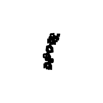 O=C(CS(=O)(=O)c1cncnc1)c1ccc(-c2noc(C(F)(F)Cl)n2)cc1